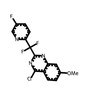 COc1ccc2c(Cl)nc(C(F)(F)c3ccc(F)cn3)nc2c1